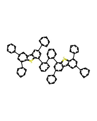 c1ccc(-c2cc(-c3ccccc3)c3sc4c(-c5ccccc5-c5ccccc5-c5cc(-c6ccccc6)cc6c5sc5c(-c7ccccc7)cc(-c7ccccc7)cc56)cc(-c5ccccc5)cc4c3c2)cc1